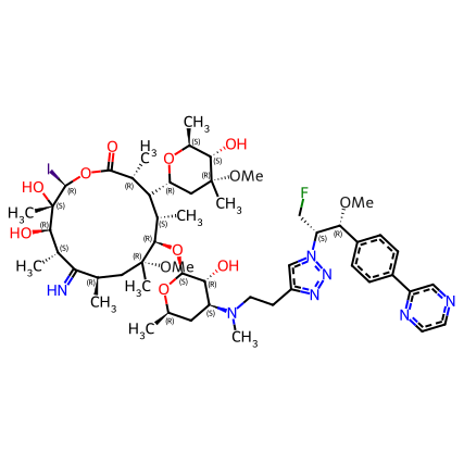 CO[C@H](c1ccc(-c2cnccn2)cc1)[C@@H](CF)n1cc(CCN(C)[C@H]2C[C@@H](C)O[C@@H](O[C@@H]3[C@@H](C)C([C@H]4C[C@@](C)(OC)[C@@H](O)[C@H](C)O4)[C@@H](C)C(=O)O[C@H](I)[C@@](C)(O)[C@H](O)[C@@H](C)C(=N)[C@H](C)C[C@@]3(C)OC)[C@@H]2O)nn1